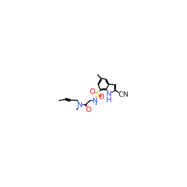 CC#CCN(C)C(=O)CN(C)S(=O)(=O)c1cc(C)cc2cc(C#N)[nH]c12